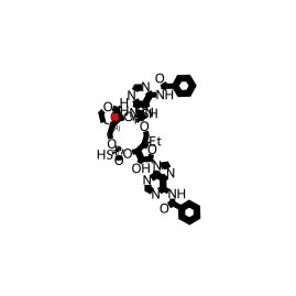 CC[C@@]12CO[P@@](=O)(S)O[C@H]3[C@H]4OCC[C@]3(CO[P@@](=O)(S)OC1=C(O)[C@H](n1cnc3c(NC(=O)c5ccccc5)ncnc31)O2)O[C@H]4n1cnc2c(NC(=O)c3ccccc3)ncnc21